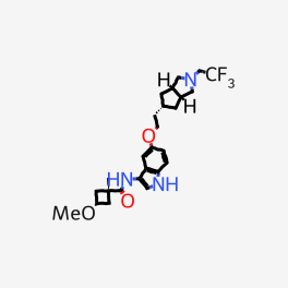 CO[C@H]1C[C@@](C)(C(=O)Nc2c[nH]c3ccc(OCC[C@@H]4C[C@@H]5CN(CC(F)(F)F)C[C@@H]5C4)cc23)C1